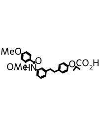 COc1ccc(C(=O)Nc2cccc(CCc3ccc(OC(C)(C)C(=O)O)cc3)c2)c(OC)c1